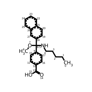 CCCCCNC(OC)(c1ccc(C(=O)O)cc1)c1ccc2ccccc2c1